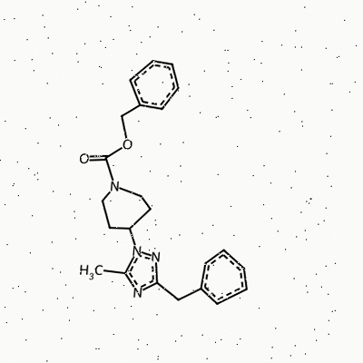 Cc1nc(Cc2ccccc2)nn1C1CCN(C(=O)OCc2ccccc2)CC1